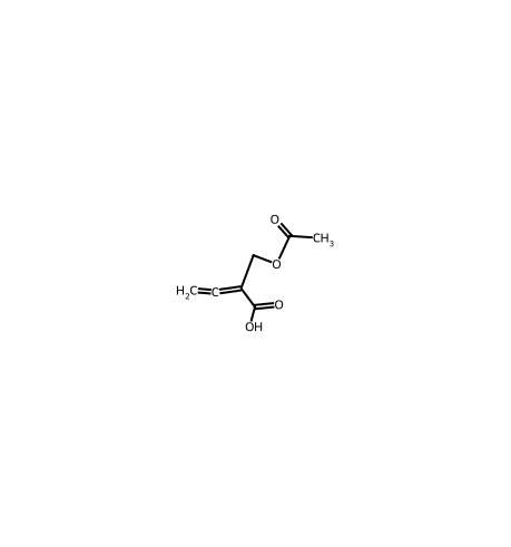 C=C=C(COC(C)=O)C(=O)O